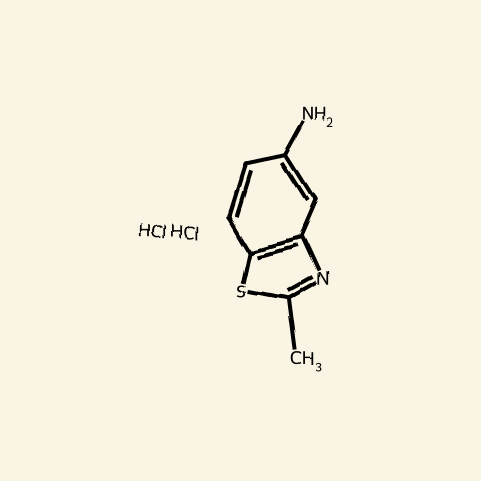 Cc1nc2cc(N)ccc2s1.Cl.Cl